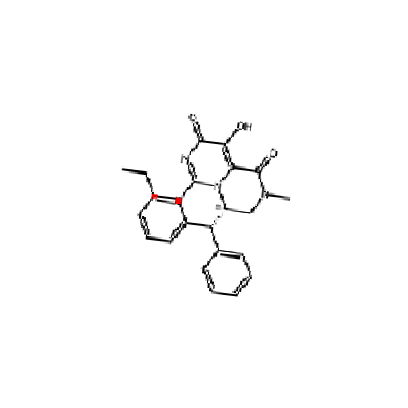 CCCOc1nc(=O)c(O)c2n1[C@@H](C(c1ccccc1)c1ccccc1)CN(C)C2=O